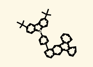 CC(C)(C)c1ccc2c(c1)c1cc(C(C)(C)C)ccc1n2-c1ccc(-c2cccc3cc4c5ccccc5c5ccccc5c4cc23)cc1